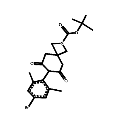 Cc1cc(Br)cc(C)c1C1C(=O)CC2(CC1=O)CN(C(=O)OC(C)(C)C)C2